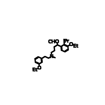 CCOc1cccc(CCN(C)CCCC(C=O)c2cccc(OCC)c2C(C)C)c1